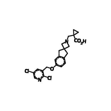 O=C(O)C1(CN2CC3(Cc4ccc(OCc5cc(Cl)cnc5Cl)cc4C3)C2)CC1